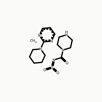 C.O=C(N=S(=O)=O)N1CCNCC1.c1cnc(N2CCCCC2)nc1